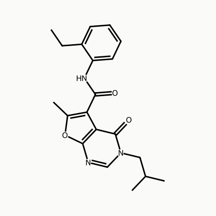 CCc1ccccc1NC(=O)c1c(C)oc2ncn(CC(C)C)c(=O)c12